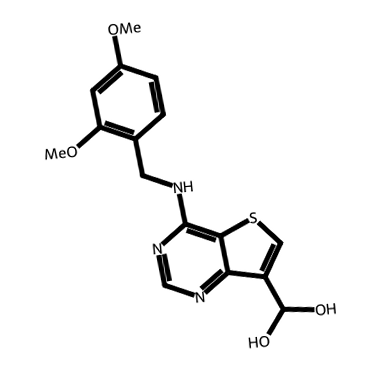 COc1ccc(CNc2ncnc3c(C(O)O)csc23)c(OC)c1